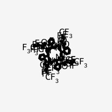 O=C(Nc1ccccc1C1=C2C=CC(=N2)C(c2ccccc2NC(=O)C(F)(OC(F)(F)C(F)(F)C(F)(F)F)C(F)(F)F)=C2C=CC(=N2)C(c2ccccc2NC(=O)C(F)(OC(F)(F)C(F)(F)C(F)(F)F)C(F)(F)F)=C2C=CC(=N2)C(c2ccccc2NC(=O)C(F)(OC(F)(F)C(F)(F)C(F)(F)F)C(F)(F)F)=C2C=CC1=N2)C(F)(OC(F)(F)C(F)(F)C(F)(F)F)C(F)(F)F